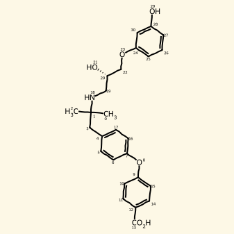 CC(C)(Cc1ccc(Oc2ccc(C(=O)O)cc2)cc1)NC[C@H](O)COc1cccc(O)c1